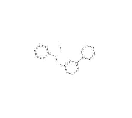 OC[C@H](Nc1cncc(-c2cccnc2)c1)c1ccccc1